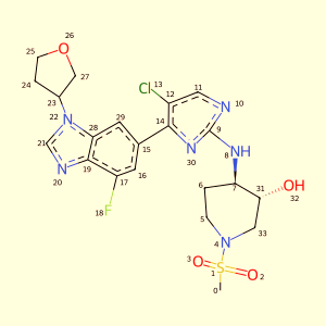 CS(=O)(=O)N1CC[C@@H](Nc2ncc(Cl)c(-c3cc(F)c4ncn(C5CCOC5)c4c3)n2)[C@H](O)C1